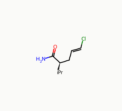 CC(C)[C@H](C/C=C/Cl)C(N)=O